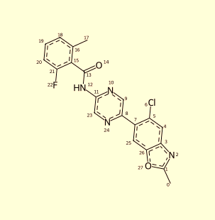 Cc1nc2cc(Cl)c(-c3cnc(NC(=O)c4c(C)cccc4F)cn3)cc2o1